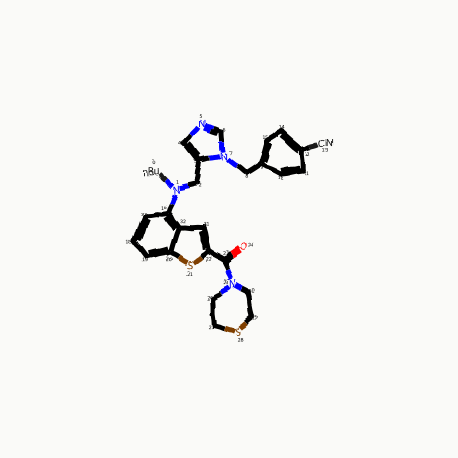 CCCCN(Cc1cncn1Cc1ccc(C#N)cc1)c1cccc2sc(C(=O)N3CCSCC3)cc12